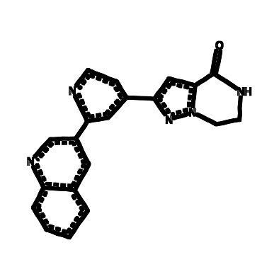 O=C1NCCn2nc(-c3ccnc(-c4cnc5ccccc5c4)c3)cc21